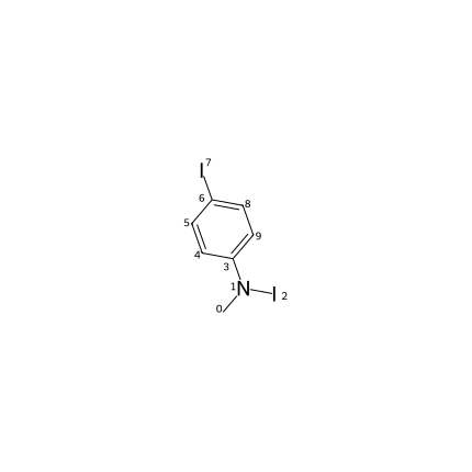 CN(I)c1ccc(I)cc1